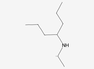 C[CH]NC(CCC)CCC